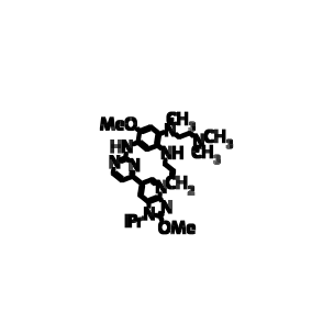 C=CCNc1cc(Nc2nccc(-c3cnc4nc(OC)n(C(C)C)c4c3)n2)c(OC)cc1N(C)CCN(C)C